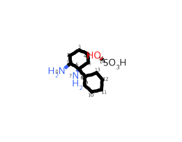 NC1CCCCC1(N)C1CCCCC1.O=S(=O)(O)O